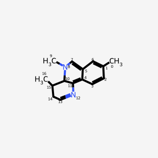 Cc1ccc2c(c1)=CN(C)C1C=2N=CCC1C